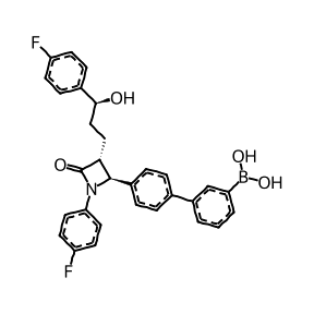 O=C1[C@H](CC[C@H](O)c2ccc(F)cc2)[C@@H](c2ccc(-c3cccc(B(O)O)c3)cc2)N1c1ccc(F)cc1